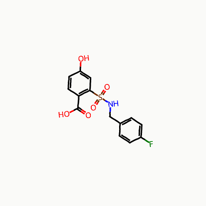 O=C(O)c1ccc(O)cc1S(=O)(=O)NCc1ccc(F)cc1